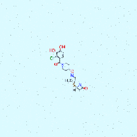 C[C@]1(/C=N/OC2CCN(C(=O)c3ccc(O)c(O)c3Cl)CC2)CN2C(=O)C[C@H]2S1